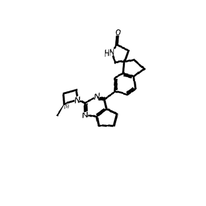 C[C@H]1CCN1c1nc2c(c(-c3ccc4c(c3)C3(CC4)CNC(=O)C3)n1)CCC2